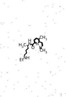 C=N/C=C\c1nc(C(=O)N[C@@H](C)CCCCNCC)ccc1C